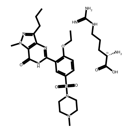 CCCc1nn(C)c2c(=O)[nH]c(-c3cc(S(=O)(=O)N4CCN(C)CC4)ccc3OCC)nc12.N=C(N)NCCC[C@H](N)C(=O)O